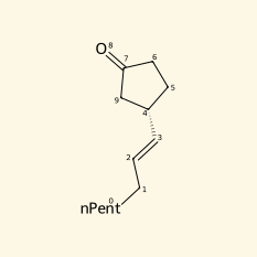 CCCCCC/C=C/[C@H]1CCC(=O)C1